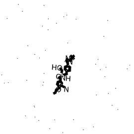 CCCOc1ccc(C(=O)N[C@H](CCO)Cc2ccc(-c3cn(C)c(C(C)(C)C)n3)cc2)cc1C#N